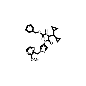 COc1nccnc1Cn1cc(NC(=O)C(NC(=O)OCc2ccccc2)C(C2CC2)C2CC2)cn1